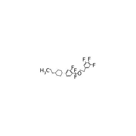 CCC[C@H]1CC[C@H](c2ccc(C(F)(F)OCCc3cc(F)c(F)c(F)c3)c(F)c2)CC1